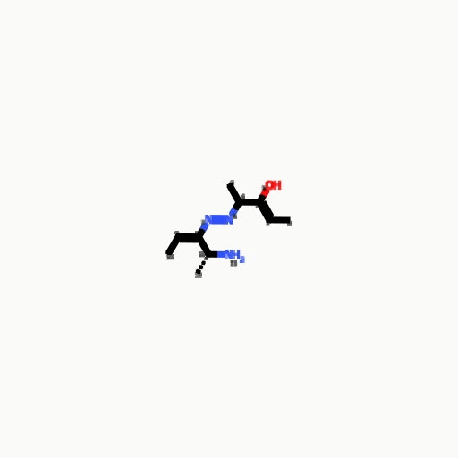 C/C=C(\O)C(C)N=N/C(=C/C)[C@@H](C)N